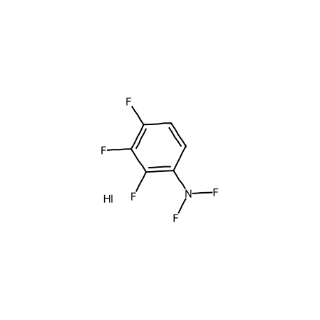 Fc1ccc(N(F)F)c(F)c1F.I